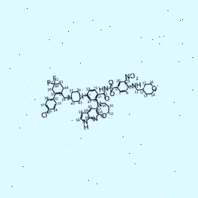 O=C(NS(=O)(=O)c1ccc(NCC2CCOCC2)c([N+](=O)[O-])c1)c1ccc(N2CCN(CC3=C(c4ccc(Cl)cc4)CC(F)(F)CC3)CC2)cc1N1CCCOc2nc3[nH]ccc3cc21